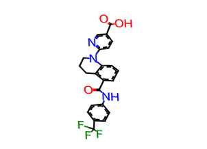 O=C(O)c1ccc(N2CCCc3c(C(=O)Nc4ccc(C(F)(F)F)cc4)cccc32)nc1